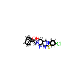 N=c1sc2cc(Cl)ccc2n1CC1CCN(C[C@H](O)C23CC4CC(CC(C4)C2)C3)CC1